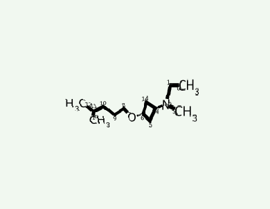 CCN(C)[C@H]1C[C@H](OCCCC(C)C)C1